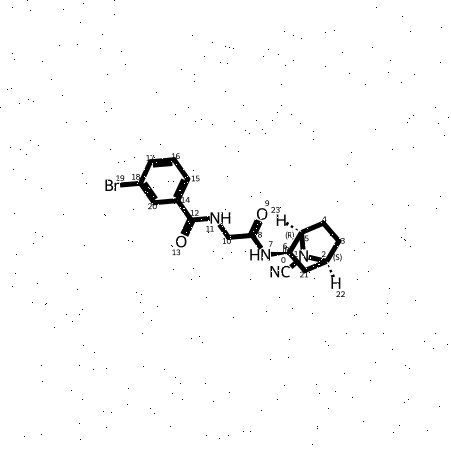 N#CN1[C@H]2CC[C@@H]1[C@H](NC(=O)CNC(=O)c1cccc(Br)c1)C2